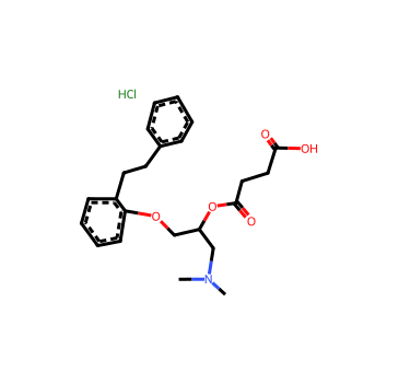 CN(C)CC(COc1ccccc1CCc1ccccc1)OC(=O)CCC(=O)O.Cl